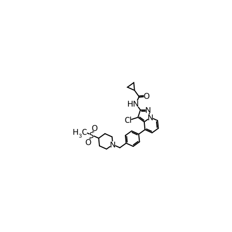 CS(=O)(=O)C1CCN(Cc2ccc(-c3cccn4nc(NC(=O)C5CC5)c(Cl)c34)cc2)CC1